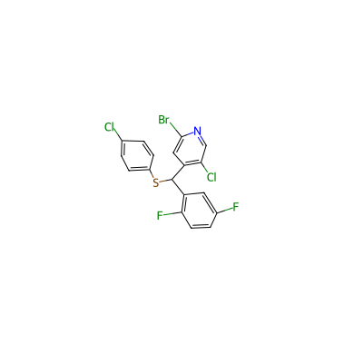 Fc1ccc(F)c(C(Sc2ccc(Cl)cc2)c2cc(Br)ncc2Cl)c1